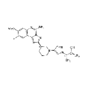 COc1cc2nc(N)n3nc([C@@H]4CCCN(c5cnn([C@@H](C)[C@H](C)O)c5)C4)nc3c2cc1F